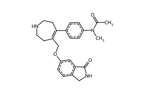 CC(=O)N(C)c1ccc(C2=C(COc3ccc4c(c3)C(=O)NC4)CCNCC2)cc1